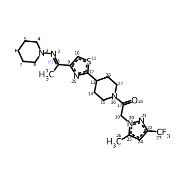 C/C(=N\N1CCCCC1)c1csc(C2CCN(C(=O)Cn3nc(C(F)(F)F)cc3C)CC2)n1